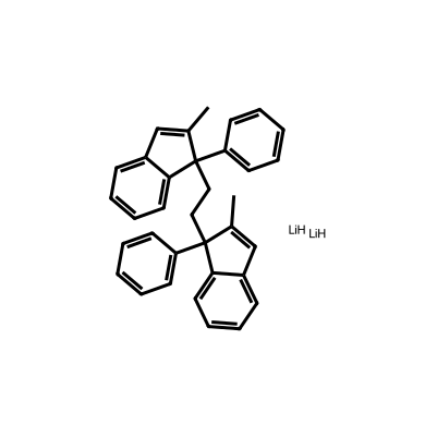 CC1=Cc2ccccc2C1(CCC1(c2ccccc2)C(C)=Cc2ccccc21)c1ccccc1.[LiH].[LiH]